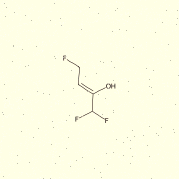 OC(=CCF)C(F)F